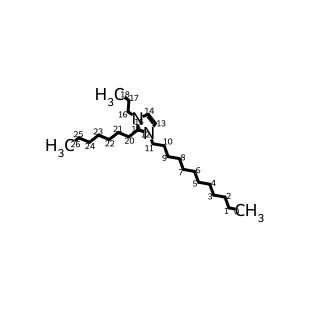 CCCCCCCCCCCCN1C=CN(CCC)C1CCCCCCC